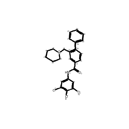 O=C(Nc1cc(Cl)c(Cl)c(Cl)c1)c1ccc(-c2ccccc2)c(CN2CCCCC2)c1